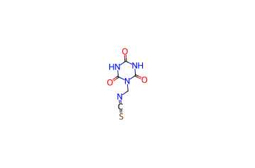 O=c1[nH]c(=O)n(CN=C=S)c(=O)[nH]1